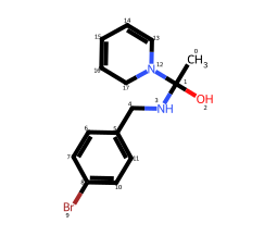 CC(O)(NCc1ccc(Br)cc1)N1C=CC=CC1